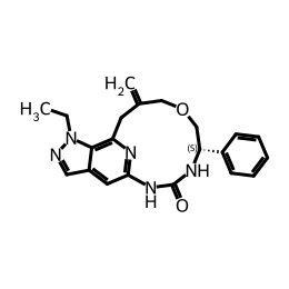 C=C1COC[C@H](c2ccccc2)NC(=O)Nc2cc3cnn(CC)c3c(n2)C1